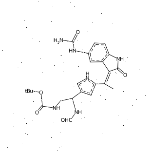 CC(=C1C(=O)Nc2ccc(NC(N)=O)cc21)c1cc(C(CNC(=O)OC(C)(C)C)NC=O)c[nH]1